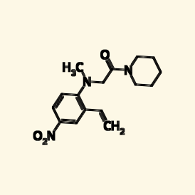 C=Cc1cc([N+](=O)[O-])ccc1N(C)CC(=O)N1CCCCC1